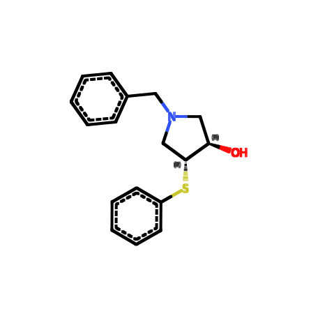 O[C@@H]1CN(Cc2ccccc2)C[C@H]1Sc1ccccc1